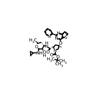 CCC[C@H](NC(=O)[C@@H]1C[C@@H](Oc2nc(-c3ccccn3)nc3ccsc23)CN1C(=O)OC(C)(C)C)C(O)C(=O)NC1CC1